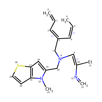 C=C/C=C(\C=C/C)CN(/C=C(/CC)N=C)Cc1cc2sccc2n1C